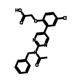 CC(=O)N(Cc1ccccc1)c1ncc(-c2cc(Cl)ccc2OCC(=O)O)cn1